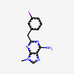 Cn1cnc2c(N)nc(Cc3cccc(I)c3)nc21